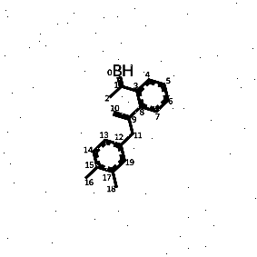 B=C(C)c1ccccc1C(=C)Cc1ccc(C)c(C)c1